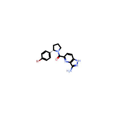 Nc1n[nH]c2ccc(C(=O)N3CCC[C@H]3c3ccc(Br)cc3)nc12